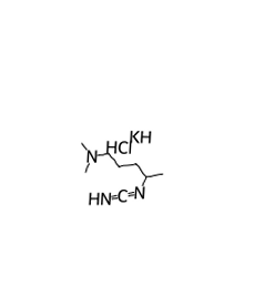 CC(CCCN(C)C)N=C=N.Cl.[KH]